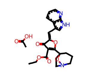 CC(=O)O.CCOC(=O)C1=C(C23CCCN(CC2)O3)OC(=Cc2c[nH]c3ncccc23)C1=O